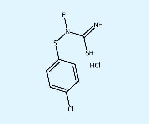 CCN(Sc1ccc(Cl)cc1)C(=N)S.Cl